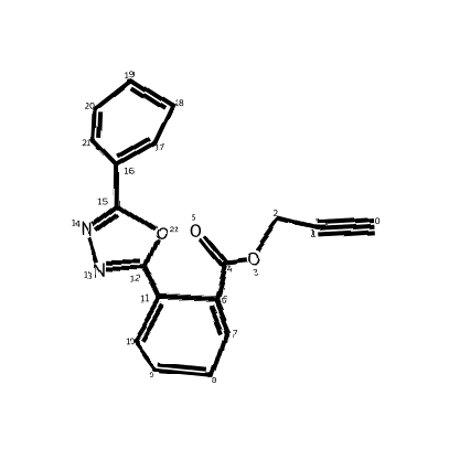 C#CCOC(=O)c1ccccc1-c1nnc(-c2ccccc2)o1